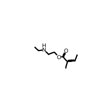 CC=C(C)C(=O)OCCNCC